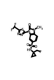 Cn1c(=O)n(-c2nnc(C(F)F)s2)c2cc(S(=O)(=O)NC3(CF)CC3)ccc21